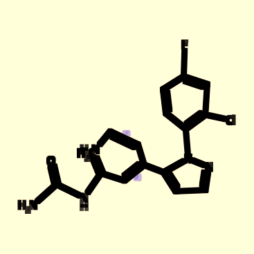 C=C(/C=C(\C=C/N)c1ccnn1-c1ccc(F)cc1Cl)NC(N)=O